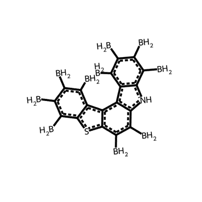 Bc1c(B)c(B)c2c([nH]c3c(B)c(B)c4sc5c(B)c(B)c(B)c(B)c5c4c32)c1B